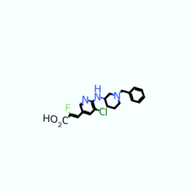 O=C(O)C(F)=Cc1cnc(N[C@@H]2CCCN(Cc3ccccc3)C2)c(Cl)c1